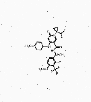 COc1ccc([C@H](C)NC(=O)c2cn(C3(C(F)F)CC3)c(=O)cc2NC2CCN(C)CC2)c(F)c1C(F)(F)F